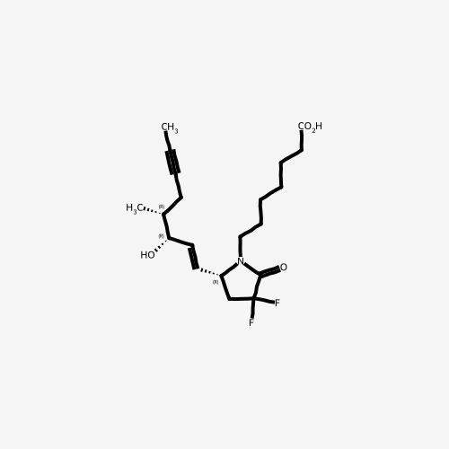 CC#CC[C@@H](C)[C@@H](O)C=C[C@H]1CC(F)(F)C(=O)N1CCCCCCC(=O)O